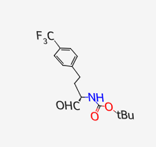 CC(C)(C)OC(=O)N[C@@H](C=O)CCc1ccc(C(F)(F)F)cc1